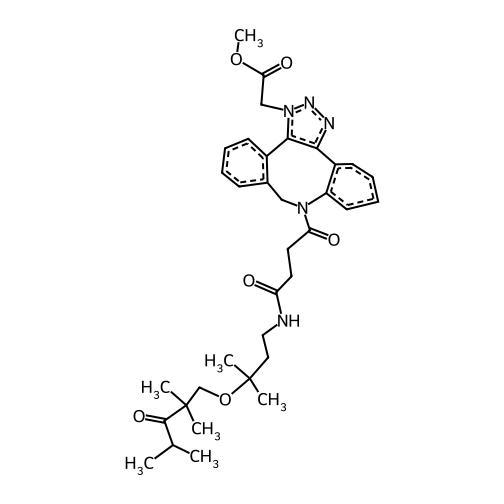 COC(=O)Cn1nnc2c1-c1ccccc1CN(C(=O)CCC(=O)NCCC(C)(C)OCC(C)(C)C(=O)C(C)C)c1ccccc1-2